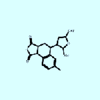 CC(=O)OC1CC(C2CC3C(=O)OC(=O)C3c3ccc(C)cc32)C(OC(C)=O)O1